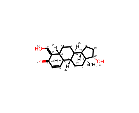 C[C@]12CC[C@@H]3[C@H]4C=CC(=O)/C(=C\O)[C@@H]4CC[C@H]3[C@@H]1CC[C@@H]2O